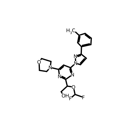 Cc1cccc(-c2ccn(-c3cc(N4CCOCC4)nc(C(CO)OC(F)F)n3)n2)c1